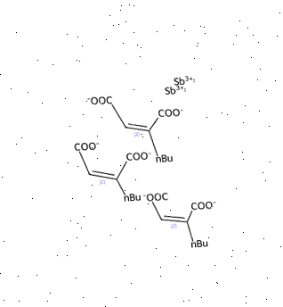 CCCC/C(=C/C(=O)[O-])C(=O)[O-].CCCC/C(=C/C(=O)[O-])C(=O)[O-].CCCC/C(=C/C(=O)[O-])C(=O)[O-].[Sb+3].[Sb+3]